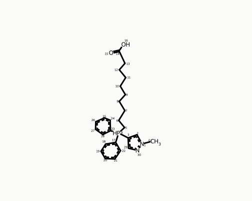 Cn1cc([PH](CCCCCCCCCC(=O)O)(c2ccccc2)c2ccccc2)cn1